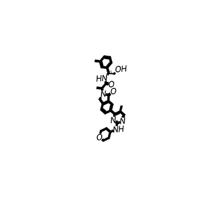 Cc1cccc([C@@H](CO)NC(=O)C(C)N2Cc3ccc(-c4nc(NC5CCOCC5)ncc4C)cc3C2=O)c1